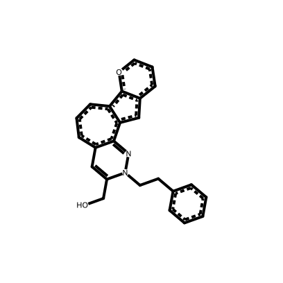 OCC1=Cc2cccc3c(cc4cccoc43)c2=NN1CCc1ccccc1